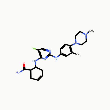 Cc1cc(Nc2ncc(F)c(NC3CC=CCC3C(N)=O)n2)ccc1N1CCN(C)CC1